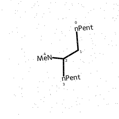 CCCCCCC(CCCCC)NC